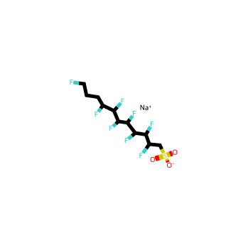 O=S(=O)([O-])CC(F)C(F)C(F)C(F)C(F)C(F)C(F)CCCF.[Na+]